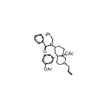 C=CCN1CC[C@@]2(c3cccc(OC(C)=O)c3)C[C@@H](N(CC(C)C)C(=O)c3ccccc3)CC[C@]2(OC(C)=O)C1